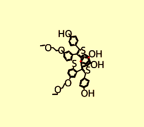 CCOCCOc1ccc(Sc2ccc(OCCOCC)cc2-c2c(-c3ccc(O)cc3)sc3cc(O)ccc23)c(-c2c(-c3ccc(O)cc3)sc3cc(O)ccc23)c1